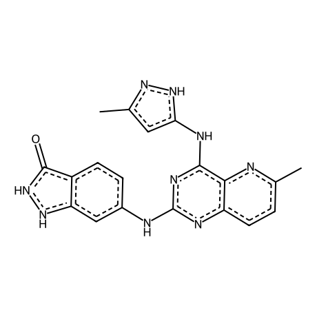 Cc1cc(Nc2nc(Nc3ccc4c(=O)[nH][nH]c4c3)nc3ccc(C)nc23)[nH]n1